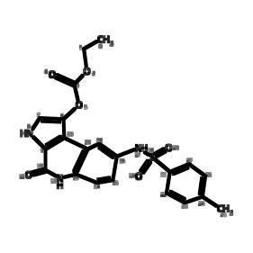 CCOC(=O)Oc1c[nH]c2c(=O)[nH]c3ccc(NS(=O)(=O)c4ccc(C)cc4)cc3c12